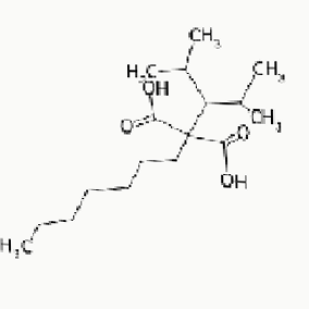 CCCCCCCC(C(=O)O)(C(=O)O)C(C(C)C)C(C)C